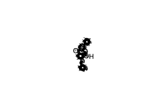 C[C@]1(C(=O)O)C[C@H](OCc2cccnc2)CC[C@@H]1C(=O)N1CCN(c2ccccc2)CC1